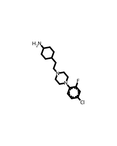 NC1CCC(CCN2CCN(c3ccc(Cl)cc3F)CC2)CC1